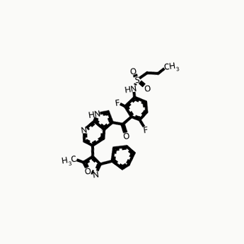 CCCS(=O)(=O)Nc1ccc(F)c(C(=O)c2c[nH]c3ncc(-c4c(-c5ccccc5)noc4C)cc23)c1F